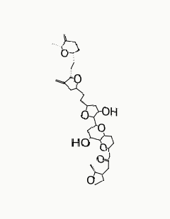 C=C1CC(CCC2CC(O)C(C3CC(O)C4OC(CC(=O)CC5CCO[C@H]5C)CCC4O3)O2)O[C@H]1CC[C@H]1CCC(=C)[C@@H](C)O1